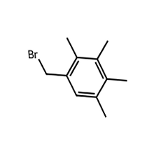 Cc1cc(CBr)c(C)c(C)c1C